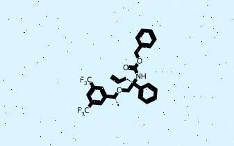 C=CC[C@](CO[C@H](C)c1cc(C(F)(F)F)cc(C(F)(F)F)c1)(NC(=O)OCc1ccccc1)c1ccccc1